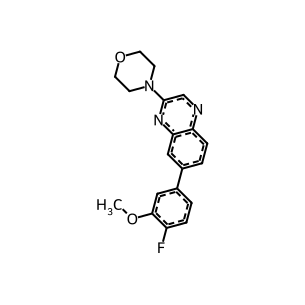 COc1cc(-c2ccc3ncc(N4CCOCC4)nc3c2)ccc1F